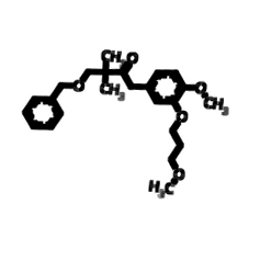 COCCCOc1cc(CC(=O)C(C)(C)COCc2ccccc2)ccc1OC